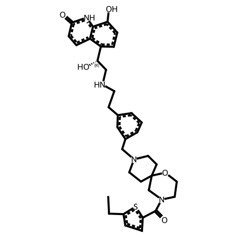 CCc1ccc(C(=O)N2CCOC3(CCN(Cc4cccc(CCNC[C@H](O)c5ccc(O)c6[nH]c(=O)ccc56)c4)CC3)C2)s1